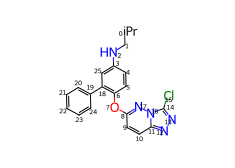 CC(C)CNc1ccc(Oc2ccc3nnc(Cl)n3n2)c(-c2ccccc2)c1